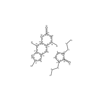 CCCn1ccn(CCC)c1=O.Cc1cc2cc3c(C)cc(=O)oc3c(C)c2o1